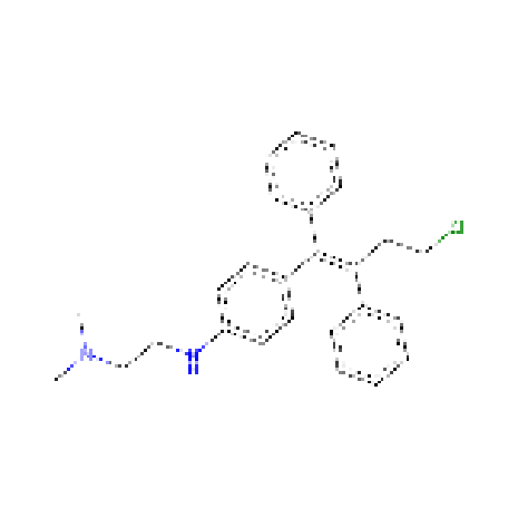 CN(C)CCNc1ccc(/C(=C(/CCCl)c2ccccc2)c2ccccc2)cc1